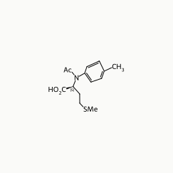 CSCC[C@@H](C(=O)O)N(C(C)=O)c1ccc(C)cc1